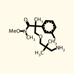 CON(C)C(=O)C(C)(COCC(C)(C)CN)c1cccc(I)c1